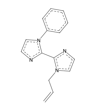 C=CCn1ccnc1-c1nccn1-c1ccccc1